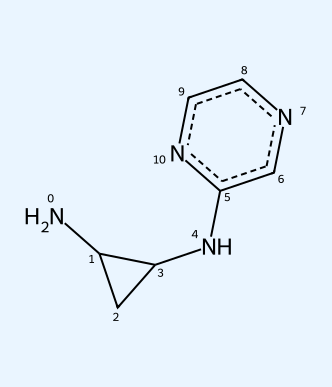 NC1CC1Nc1cnccn1